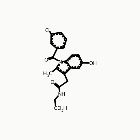 Cc1c(CC(=O)NCC(=O)O)c2cc(O)ccc2n1C(=O)c1cccc(Cl)c1